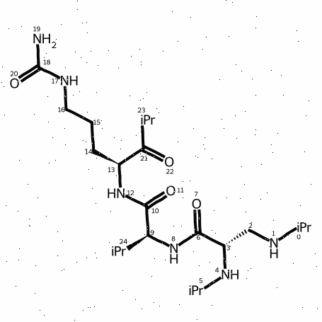 CC(C)NC[C@H](NC(C)C)C(=O)N[C@H](C(=O)N[C@@H](CCCNC(N)=O)C(=O)C(C)C)C(C)C